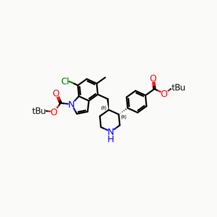 Cc1cc(Cl)c2c(ccn2C(=O)OC(C)(C)C)c1C[C@@H]1CCNC[C@H]1c1ccc(C(=O)OC(C)(C)C)cc1